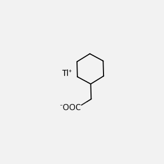 O=C([O-])CC1CCCCC1.[Tl+]